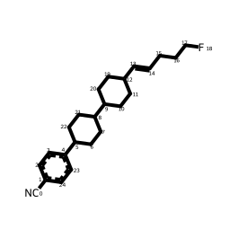 N#Cc1ccc(C2CCC(C3CCC(C=CCCCF)CC3)CC2)cc1